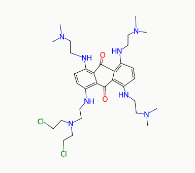 CN(C)CCNc1ccc(NCCN(C)C)c2c1C(=O)c1c(NCCN(C)C)ccc(NCCN(CCCl)CCCl)c1C2=O